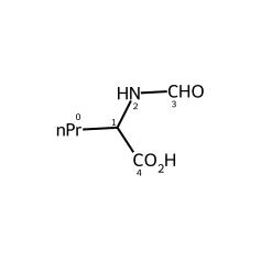 CCCC(NC=O)C(=O)O